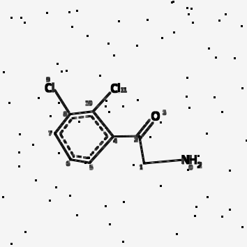 NCC(=O)c1cccc(Cl)c1Cl